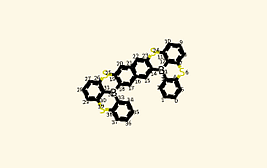 c1ccc2c(c1)Sc1cccc3c1B2c1cc2cc4c(cc2cc1S3)Sc1cccc2c1B4c1ccccc1S2